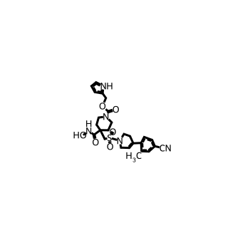 Cc1cc(C#N)ccc1C1=CCN(S(=O)(=O)CC2(C(=O)NO)CCN(C(=O)OCc3ccc[nH]3)CC2)CC1